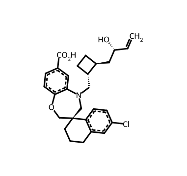 C=C[C@@H](O)C[C@@H]1CC[C@H]1CN1C[C@@]2(CCCc3cc(Cl)ccc32)COc2ccc(C(=O)O)cc21